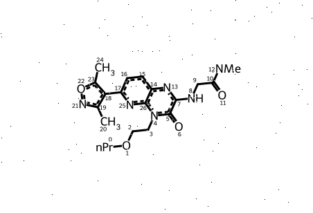 CCCOCCn1c(=O)c(NCC(=O)NC)nc2ccc(-c3c(C)noc3C)nc21